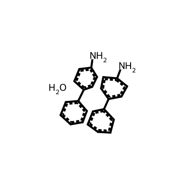 Nc1ccc(-c2ccccc2)cc1.Nc1ccc(-c2ccccc2)cc1.O